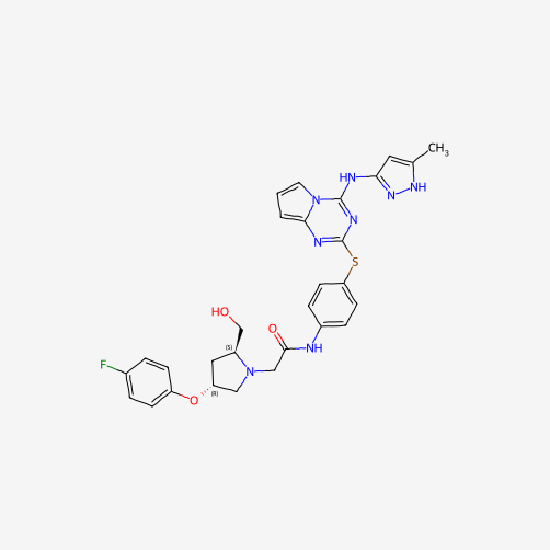 Cc1cc(Nc2nc(Sc3ccc(NC(=O)CN4C[C@H](Oc5ccc(F)cc5)C[C@H]4CO)cc3)nc3cccn23)n[nH]1